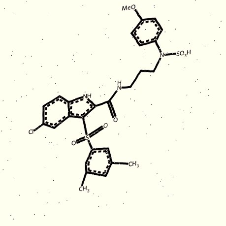 COc1ccc(N(CCCNC(=O)c2[nH]c3ccc(Cl)cc3c2S(=O)(=O)c2cc(C)cc(C)c2)S(=O)(=O)O)cc1